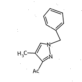 CC(=O)c1nn(Cc2ccccc2)cc1C